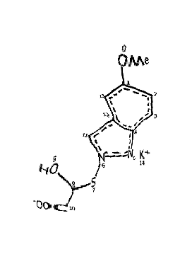 COc1ccc2nn(SC(O)C(=O)[O-])cc2c1.[K+]